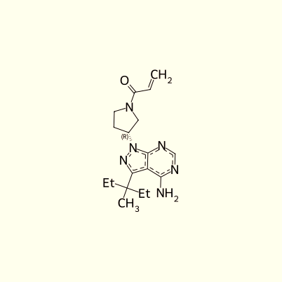 C=CC(=O)N1CC[C@@H](n2nc(C(C)(CC)CC)c3c(N)ncnc32)C1